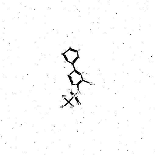 O=S(=O)(Oc1ccc(-c2ccccc2)cc1Cl)C(F)(F)F